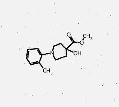 COC(=O)C1(O)CCN(c2ccccc2C)CC1